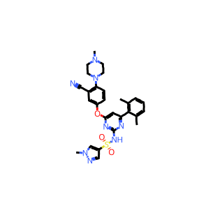 Cc1cccc(C)c1-c1cc(Oc2ccc(N3CCN(C)CC3)c(C#N)c2)nc(NS(=O)(=O)c2cnn(C)c2)n1